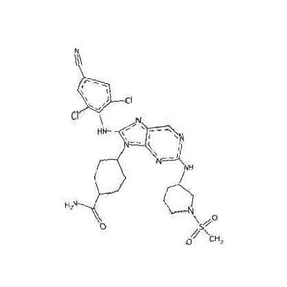 CS(=O)(=O)N1CCCC(Nc2ncc3nc(Nc4c(Cl)cc(C#N)cc4Cl)n(C4CCC(C(N)=O)CC4)c3n2)C1